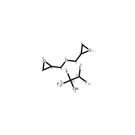 C(OCC1CO1)C1CO1.OC(F)(C(F)F)C(F)(F)F